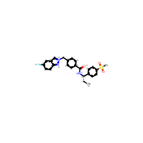 CCS(=O)(=O)c1ccc([C@H](CC#N)NC(=O)c2ccc(Cn3cc4cc(F)ccc4n3)cc2)cc1